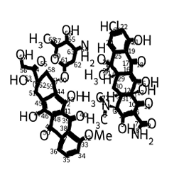 CN(C)[C@@H]1C(O)=C(C(N)=O)C(=O)[C@@]2(O)C(O)=C3C(=O)c4c(O)cccc4[C@@](C)(O)[C@H]3C[C@@H]12.COc1cccc2c1C(=O)c1c(O)c3c(c(O)c1C2=O)C[C@@](O)(C(=O)CO)C[C@@H]3OC1CC(N)C(O)C(C)O1.Cl